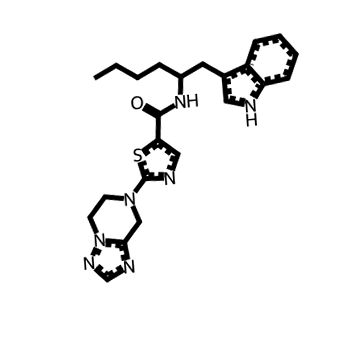 CCCCC(Cc1c[nH]c2ccccc12)NC(=O)c1cnc(N2CCn3ncnc3C2)s1